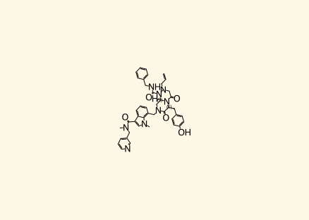 C=CCN1CC(=O)N2[C@@H](Cc3ccc(O)cc3)C(=O)N(Cc3cccc4c(C(=O)N(C)Cc5cccnc5)cn(C)c34)C[C@@H]2N1C(=O)NCc1ccccc1